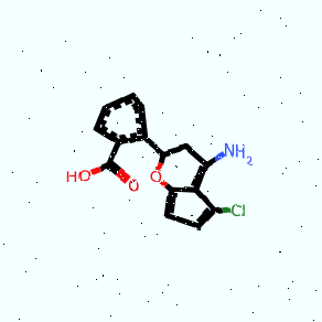 NC1=C2C(Cl)=CC=C2OC(c2ccccc2C(=O)O)C1